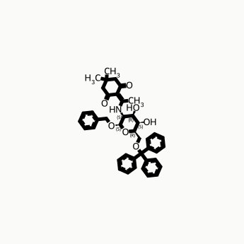 CC(N[C@@H]1[C@@H](OCc2ccccc2)O[C@H](COC(c2ccccc2)(c2ccccc2)c2ccccc2)[C@@H](O)[C@@H]1O)=C1C(=O)CC(C)(C)CC1=O